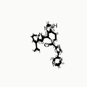 CC(C)c1cccn2nc(C3c4nc[nH]c4CCN3C(=O)c3nnc(-c4cnccn4)o3)cc12